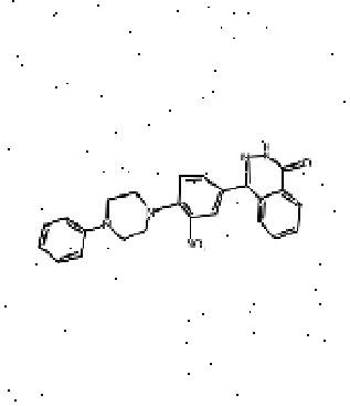 O=c1[nH]nc(-c2ccc(N3CCN(c4ccccc4)CC3)c([N+](=O)[O-])c2)c2ccccc12